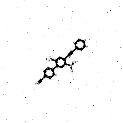 N#Cc1ccc(-c2cc([N+](=O)[O-])c(C#Cc3ccccc3)cc2N)cc1